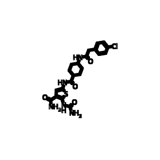 NC(=O)Nc1sc(NC(=O)C2CCC(NC(=O)Cc3ccc(Cl)cc3)CC2)cc1C(N)=O